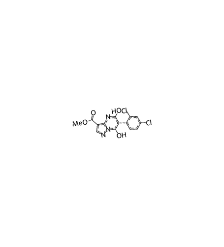 COC(=O)c1cnn2c(O)c(-c3ccc(Cl)cc3Cl)c(O)nc12